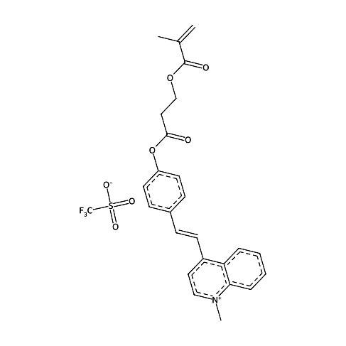 C=C(C)C(=O)OCCC(=O)Oc1ccc(C=Cc2cc[n+](C)c3ccccc23)cc1.O=S(=O)([O-])C(F)(F)F